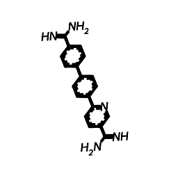 N=C(N)c1ccc(-c2ccc(-c3ccc(C(=N)N)cn3)cc2)cc1